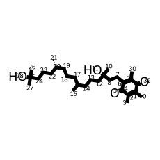 CC1=C(C)C(=O)C(CCC(C)(O)CCCC(C)CCC[C@@H](C)CCCC(C)(C)O)=C(C)C1=O